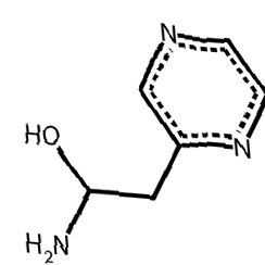 NC(O)Cc1cnccn1